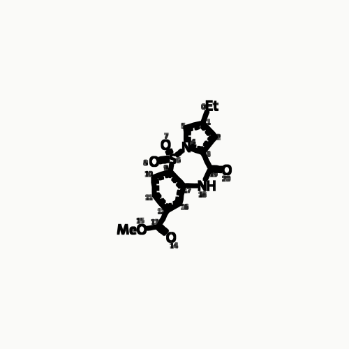 CCc1cc2n(c1)S(=O)(=O)c1ccc(C(=O)OC)cc1NC2=O